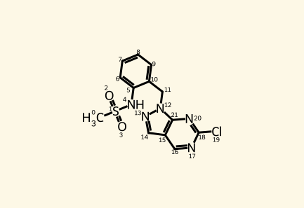 CS(=O)(=O)Nc1ccccc1Cn1ncc2cnc(Cl)nc21